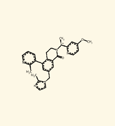 COc1ccnc([C@H](C)N2CCc3c(cc(Cn4ccnc4C)cc3-c3cccnc3C)C2=O)c1